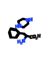 C1CNCCN1.NC(Cc1ccccc1)C(=O)O